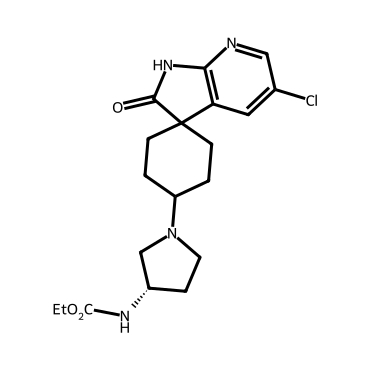 CCOC(=O)N[C@H]1CCN(C2CCC3(CC2)C(=O)Nc2ncc(Cl)cc23)C1